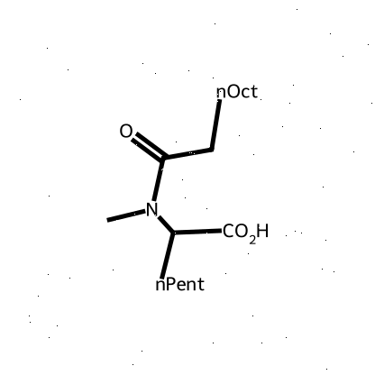 CCCCCCCCCC(=O)N(C)C(CCCCC)C(=O)O